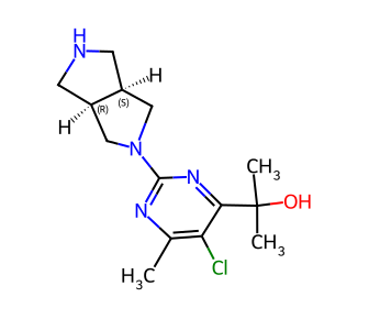 Cc1nc(N2C[C@H]3CNC[C@H]3C2)nc(C(C)(C)O)c1Cl